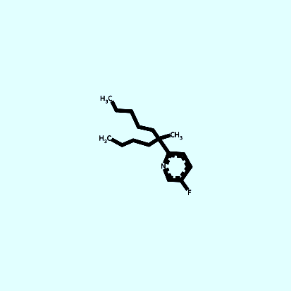 CCCCCC(C)(CCCC)c1ccc(F)cn1